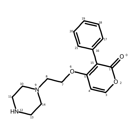 O=c1occc(OCCN2CCNCC2)c1-c1ccccc1